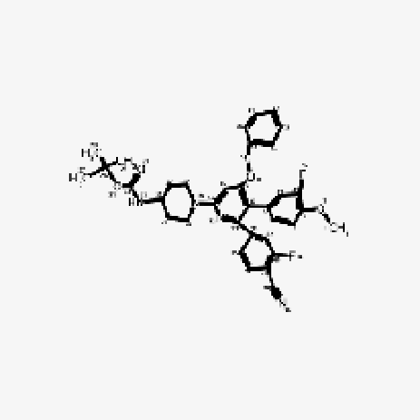 COc1ccc(-c2c(OCc3ccccc3)cc(N3CCC(NC(=O)OC(C)(C)C)CC3)nc2-c2ccc(C#N)c(F)c2)cc1F